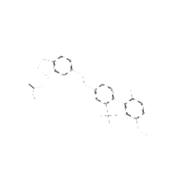 COc1ccc(F)c(-c2ccc(COc3ccc4c(c3)[C@H](CC(=O)O)CC4)cc2C(C)(C)C)c1